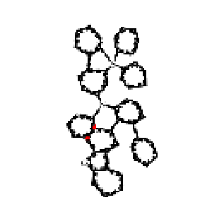 c1ccc(-c2cccc(N(c3ccccc3)c3ccc4c(c3)S(c3ccccc3)(c3ccccc3)c3ccccc3-4)c2-c2ccc3oc4ccccc4c3c2)cc1